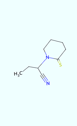 CCC(C#N)N1CCCCC1=S